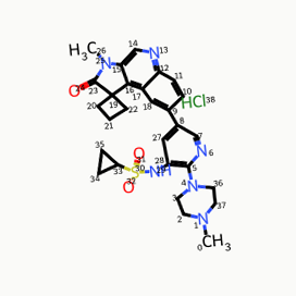 CN1CCN(c2ncc(-c3ccc4ncc5c(c4c3)C3(CCC3)C(=O)N5C)cc2NS(=O)(=O)C2CC2)CC1.Cl